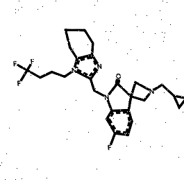 O=C1N(Cc2nc3c(n2CCCC(F)(F)F)CCCC3)c2cc(F)ccc2C12CN(CC1CC1)C2